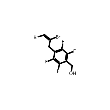 OCc1c(F)c(F)c(C/C(Br)=C\Br)c(F)c1F